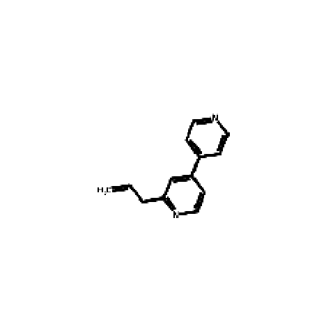 C=CCc1cc(-c2ccncc2)ccn1